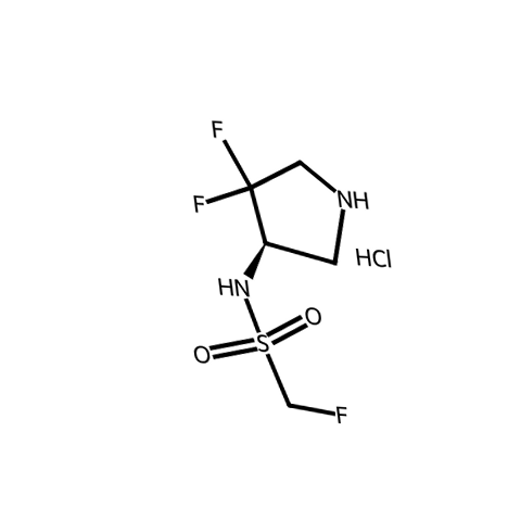 Cl.O=S(=O)(CF)N[C@@H]1CNCC1(F)F